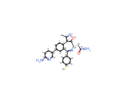 Cc1noc2c1-c1ccc(-c3ccc(N)nc3)cc1C(c1ccc(F)cc1)=N[C@H]2CC(N)=O